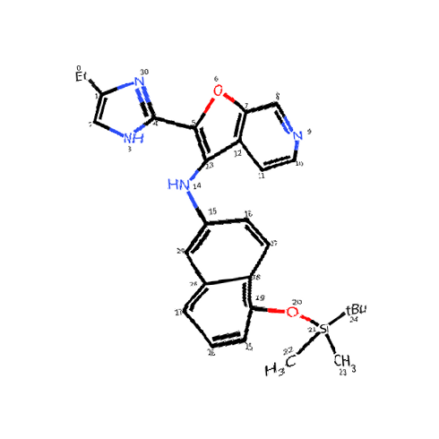 CCc1c[nH]c(-c2oc3cnccc3c2Nc2ccc3c(O[Si](C)(C)C(C)(C)C)cccc3c2)n1